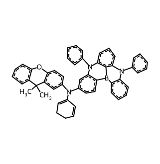 CC1(C)c2ccccc2Oc2ccc(N(C3=CCCC=C3)c3ccc4c(c3)N(c3ccccc3)c3cccc5c3B4c3ccccc3N5c3ccccc3)cc21